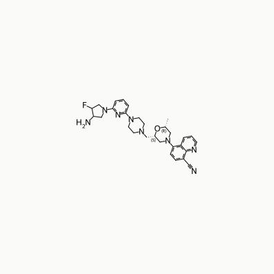 C[C@@H]1CN(c2ccc(C#N)c3ncccc23)C[C@H](CN2CCN(c3cccc(N4CC(N)C(F)C4)n3)CC2)O1